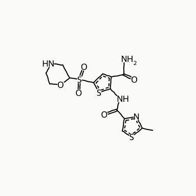 Cc1nc(C(=O)Nc2sc(S(=O)(=O)C3CNCCO3)cc2C(N)=O)cs1